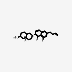 C=CCCc1cc(F)c2c(F)c([C@@H]3CC[C@@H]4CC(CCCC)CCC4C3)ccc2c1